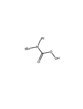 CC(C)N(C(=O)OO)C(C)(C)C